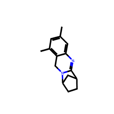 Cc1cc(C)c2c(c1)N=C1C3CCC(C3)N1C2